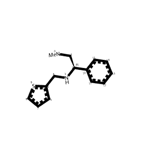 CNC[C@H](NCc1cccs1)c1ccccc1